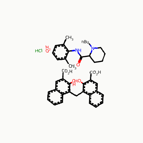 CCCCN1CCCCC1C(=O)Nc1c(C)cccc1C.Cl.O.O=C(O)c1cc2ccccc2c(Cc2c(O)c(C(=O)O)cc3ccccc23)c1O